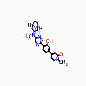 CN(c1cnc(-c2ccc(-c3ccn(C)c(=O)c3)cc2O)nn1)[C@@H]1C[C@H]2CC[C@H](N2)[C@@H]1F